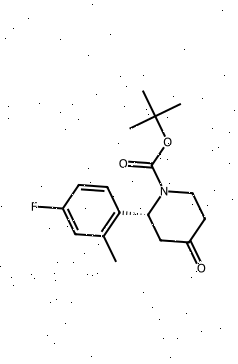 Cc1cc(F)ccc1[C@H]1CC(=O)CCN1C(=O)OC(C)(C)C